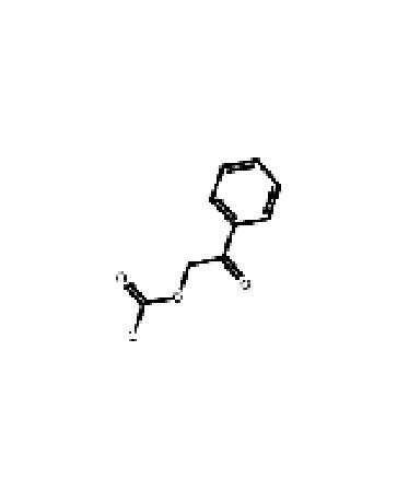 [O]C(=O)OCC(=O)c1ccccc1